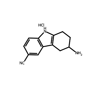 Cl.N#Cc1ccc2[nH]c3c(c2c1)CC(N)CC3